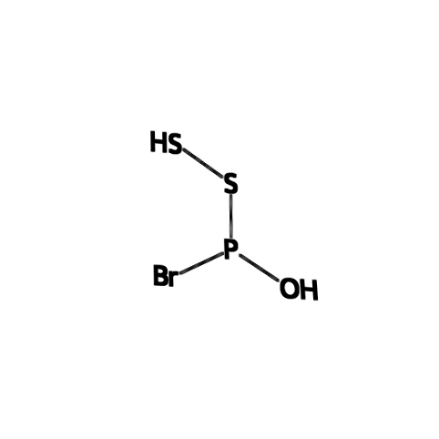 OP(Br)SS